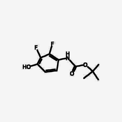 CC(C)(C)OC(=O)Nc1ccc(O)c(F)c1F